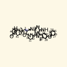 CC(C)(/C=C(/C#N)C(=O)N1CCC[C@@H](c2nc(-c3ccc(Oc4ccccc4)cc3F)c3c(N)nccn23)C1)N1CCN2C(=O)CC[C@H]2C1